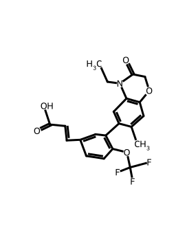 CCN1C(=O)COc2cc(C)c(-c3cc(C=CC(=O)O)ccc3OC(F)(F)F)cc21